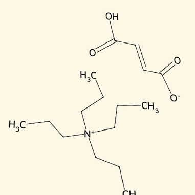 CCC[N+](CCC)(CCC)CCC.O=C([O-])/C=C/C(=O)O